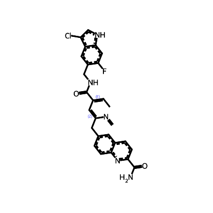 C=N/C(=C\C(=C/C)C(=O)NCc1cc2c(Cl)c[nH]c2cc1F)Cc1ccc2nc(C(N)=O)ccc2c1